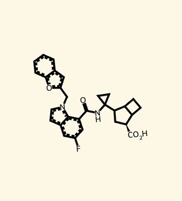 O=C(NC1(C2C[C@H](C(=O)O)C3CCC32)CC1)c1cc(F)cc2ccn(Cc3cc4ccccc4o3)c12